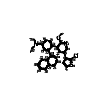 COc1ncc(-c2ccsc2Cl)cc1-c1ccc(N(C)C)cc1-c1cccc2ccccc12